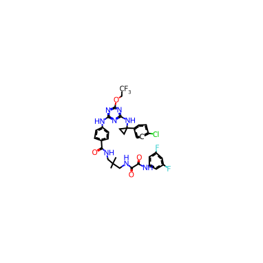 CC(C)(CNC(=O)C(=O)Nc1cc(F)cc(F)c1)CNC(=O)c1ccc(Nc2nc(NC3(c4ccc(Cl)cc4)CC3)nc(OCC(F)(F)F)n2)cc1